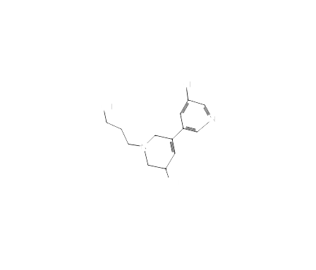 CCCCN1CC(c2cncc(C)c2)=CC(C)C1